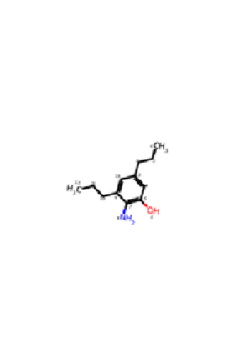 CCCc1cc(O)c(N)c(CCC)c1